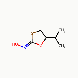 CC(C)C1CSC(=NO)O1